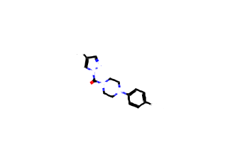 Cc1ccc(N2CCN(C(=O)n3cc(C)cn3)CC2)cc1